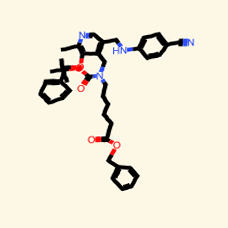 Cc1ncc(CNc2ccc(C#N)cc2)c(CN(CCCCCC(=O)OCc2ccccc2)C(=O)OC(C)(C)C)c1OCc1ccccc1